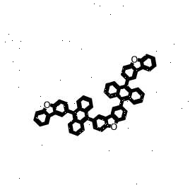 c1ccc2c(c1)oc1ccc(-c3c4ccccc4c(-c4ccc5oc6ccc(-c7c8ccccc8c(-c8ccc9oc%10ccccc%10c9c8)c8ccccc78)cc6c5c4)c4ccccc34)cc12